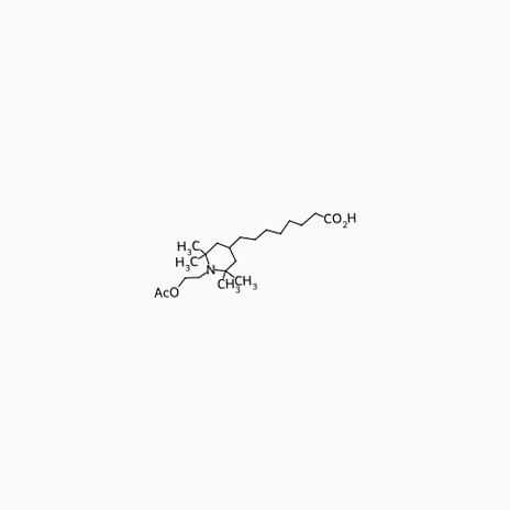 CC(=O)OCCN1C(C)(C)CC(CCCCCCCC(=O)O)CC1(C)C